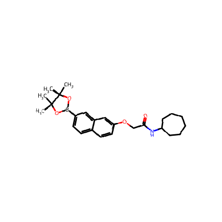 CC1(C)OB(c2ccc3ccc(OCC(=O)NC4CCCCCC4)cc3c2)OC1(C)C